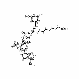 CCCCCCCCCCCCCCCCCC[C@H](COP(=O)(O)OC1[C@@]2(C#N)O[C@@H](c3ccc4c(N)ncnn34)[C@@H]3OC(C)(C)O[C@@]132)OCc1cc(F)cc(C#N)c1